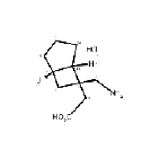 Cl.NC[C@@]1(CC(=O)O)C[C@@H]2CCC[C@@H]21